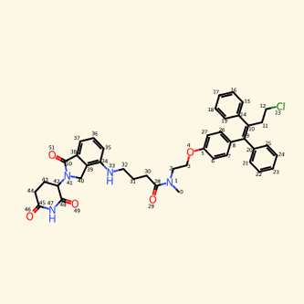 CN(CCOc1ccc(C(=C(CCCl)c2ccccc2)c2ccccc2)cc1)C(=O)CCCNc1cccc2c1CN(C1CCC(=O)NC1=O)C2=O